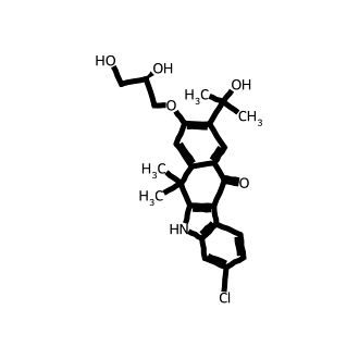 CC(C)(O)c1cc2c(cc1OC[C@H](O)CO)C(C)(C)c1[nH]c3cc(Cl)ccc3c1C2=O